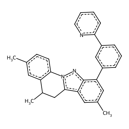 Cc1ccc2c(c1)C(C)Cc1c3cc(C)cc(-c4cccc(-c5ccccn5)c4)c3nn1-2